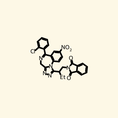 CCC(CN1C(=O)c2ccccc2C1=O)c1nnc2n1-c1ccc([N+](=O)[O-])cc1C(c1ccccc1Cl)=NC2